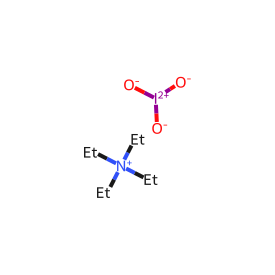 CC[N+](CC)(CC)CC.[O-][I+2]([O-])[O-]